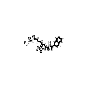 CN(C)S(=O)(=O)NC(CCCCCC(=O)OC(=O)C(F)(F)F)C1=[N+]C=C(c2ccc3ccccc3c2)N1